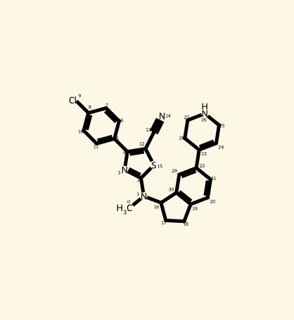 CN(c1nc(-c2ccc(Cl)cc2)c(C#N)s1)C1CCc2ccc(C3=CCNCC3)cc21